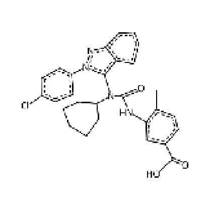 Cc1ccc(C(=O)O)cc1NC(=O)N(c1c2ccccc2nn1-c1ccc(Cl)cc1)C1CCCCC1